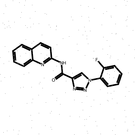 O=C(Nc1ccc2ccccc2n1)c1cn(-c2ccccc2F)nn1